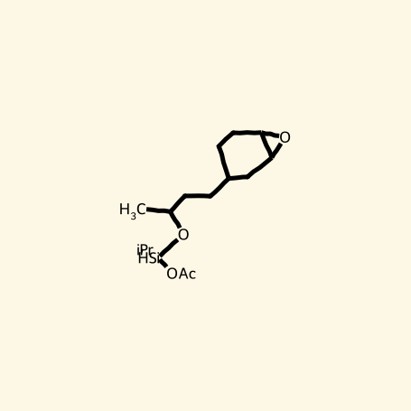 CC(=O)O[SiH](OC(C)CCC1CCC2OC2C1)C(C)C